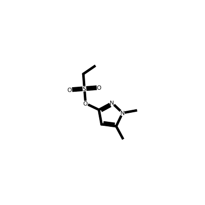 CCS(=O)(=O)Oc1cc(C)n(C)n1